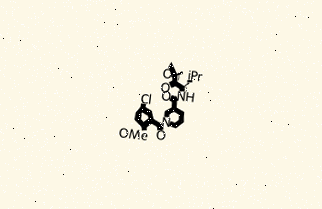 COc1ccc(Cl)cc1C(=O)N1CCCC(C(=O)N[C@@H](CC(C)C)C(=O)[C@@]2(C)CO2)C1